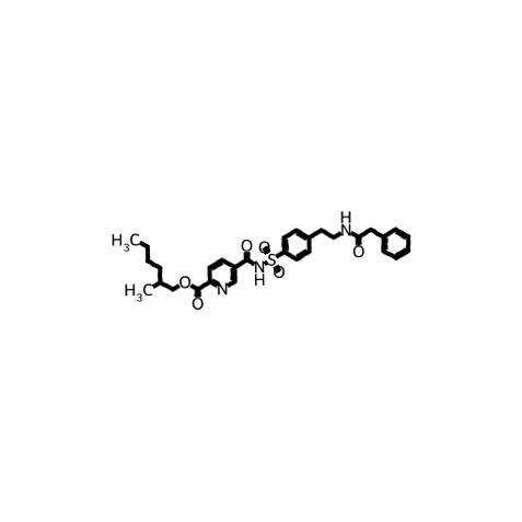 CCCCC(C)COC(=O)c1ccc(C(=O)NS(=O)(=O)c2ccc(CCNC(=O)Cc3ccccc3)cc2)cn1